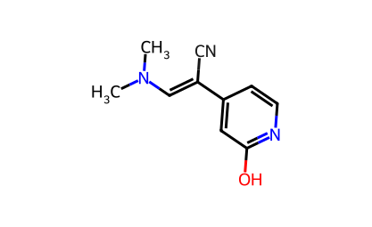 CN(C)C=C(C#N)c1ccnc(O)c1